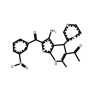 CC(=O)C1=C(C)Nc2sc(C(=O)c3cccc([N+](=O)[O-])c3)c(N)c2C1c1cccnc1